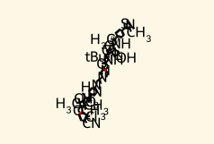 Cc1ncsc1-c1ccc([C@H](C)NC(=O)C2C[C@@H](O)CN2C(=O)[C@@H](NC(=O)CN2CCN(C3CN(c4ccc(C(=O)NC5C(C)(C)C(Oc6ccc(C#N)c(Cl)c6)C5(C)C)cn4)C3)CC2)C(C)(C)C)cc1